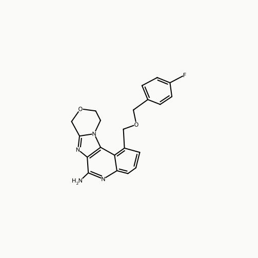 Nc1nc2cccc(COCc3ccc(F)cc3)c2c2c1nc1n2CCOC1